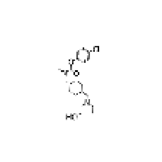 CCN(CCO)C[C@H]1CC[C@H](CN(C)C(=O)Oc2ccc(Cl)cc2)CC1